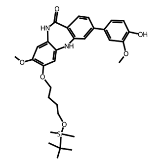 COc1cc(-c2ccc3c(c2)Nc2cc(OCCCCO[Si](C)(C)C(C)(C)C)c(OC)cc2NC3=O)ccc1O